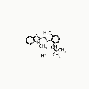 Cc1cccc(O[SiH](C)C)c1N=Cc1nc2ccccc2n1C.[H+]